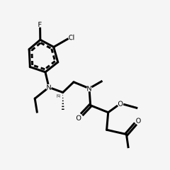 CCN(c1ccc(F)c(Cl)c1)[C@@H](C)CN(C)C(=O)C(CC(C)=O)OC